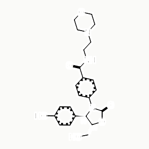 O=C(NCCN1CCOCC1)c1ccc(N2C(=O)O[C@H](CO)[C@H]2c2ccc(O)cc2)cc1